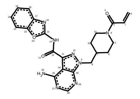 C=CC(=O)N1CCC(Cn2nc(C(=O)Nc3nc4ccccc4o3)c3c(N)ncnc32)CC1